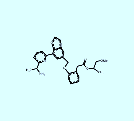 COCC(C)OC(=O)Cc1ccccc1OCc1cc(-c2cccc(C(C)N)n2)c2occc2c1